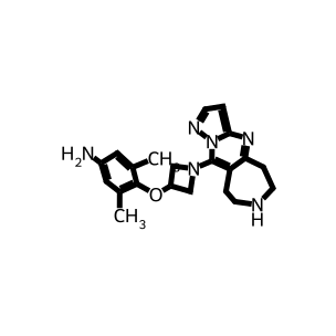 Cc1cc(N)cc(C)c1OC1CN(c2c3c(nc4ccnn24)CCNCC3)C1